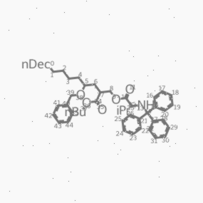 CCCCCCCCCCCCCCC(CC(COC(=O)[C@@H](NC(c1ccccc1)(c1ccccc1)c1ccccc1)C(C)C)C(=O)OCCCC)OCc1ccccc1